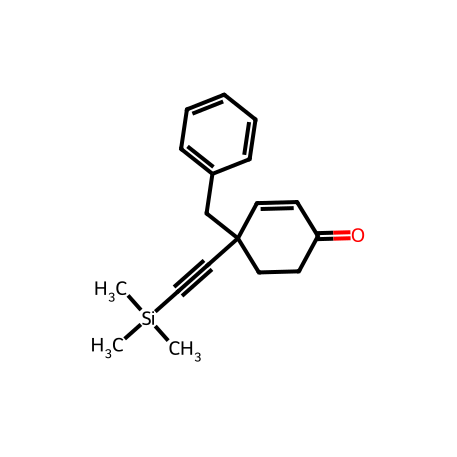 C[Si](C)(C)C#CC1(Cc2ccccc2)C=CC(=O)CC1